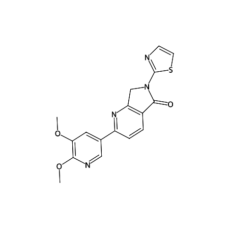 COc1cc(-c2ccc3c(n2)CN(c2nccs2)C3=O)cnc1OC